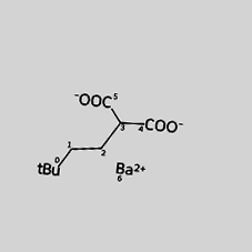 CC(C)(C)CCC(C(=O)[O-])C(=O)[O-].[Ba+2]